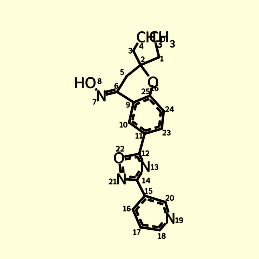 CCC1(CC)CC(=NO)c2cc(-c3nc(-c4cccnc4)no3)ccc2O1